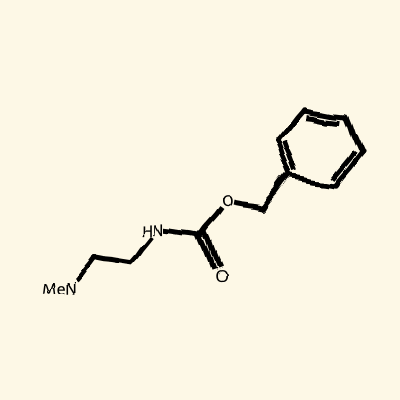 CNCCNC(=O)OCc1ccccc1